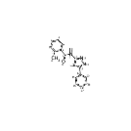 Cc1ccccc1C(=O)Nc1nnc(-c2ccncc2)s1